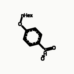 CCCCCCOc1ccc([SH](=O)=O)cc1